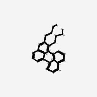 CCCCc1cc2cccc3c4cccc5cccc(c(c1CCCC)c23)c54